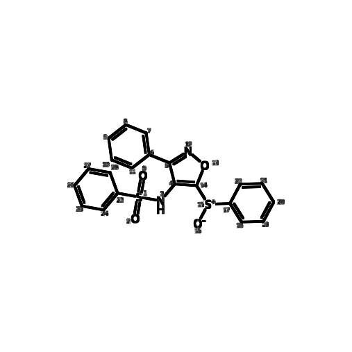 O=S(=O)(Nc1c(-c2ccccc2)noc1[S+]([O-])c1ccccc1)c1ccccc1